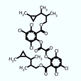 CC(COC(=O)c1c(Cl)c(Cl)cc(Cl)c1OC(=O)C(=O)Oc1c(Cl)cc(Cl)c(Cl)c1C(=O)OCC(C)C(C)C1CC1C)C(C)C1CC1C